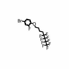 Fc1cc(Br)ccc1OCCCCC(F)(F)C(F)(F)C(F)(F)C(F)(F)F